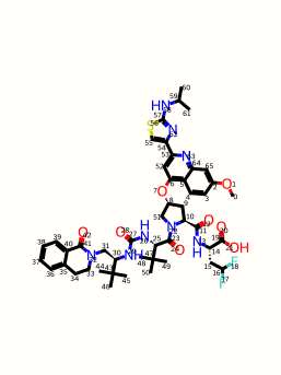 COc1ccc2c(O[C@@H]3C[C@@H](C(=O)N[C@@H](CC(F)F)C(=O)O)N(C(=O)[C@@H](NC(=O)N[C@H](CN4CCc5ccccc5C4=O)C(C)(C)C)C(C)(C)C)C3)cc(-c3csc(NC(C)C)n3)nc2c1